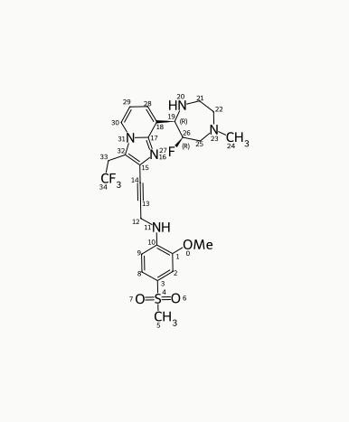 COc1cc(S(C)(=O)=O)ccc1NCC#Cc1nc2c([C@H]3NCCN(C)C[C@H]3F)cccn2c1CC(F)(F)F